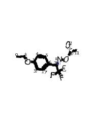 CCOc1ccc(/C(=N/OS(C)=O)C(F)(F)F)cc1